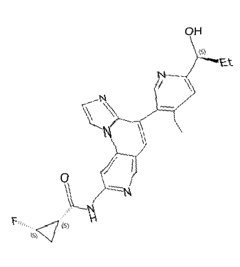 CC[C@H](O)c1cc(C)c(-c2cc3cnc(NC(=O)[C@@H]4C[C@@H]4F)cc3n3ccnc23)cn1